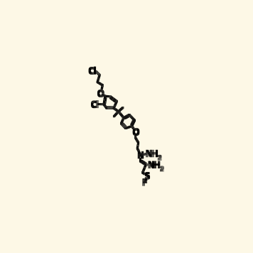 CC(C)(c1ccc(OCCCN(N)/C=C(\N)CSF)cc1)c1ccc(OCCCCl)c(Cl)c1